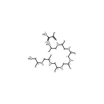 C=C(C)C(=O)O.CC(O)COC(C)COC(C)COC(C)COC(C)COC(C)COC(C)CO